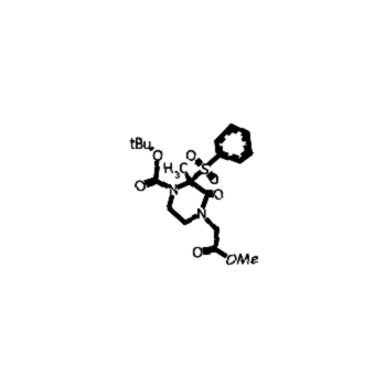 COC(=O)CN1CCN(C(=O)OC(C)(C)C)C(C)(S(=O)(=O)c2ccccc2)C1=O